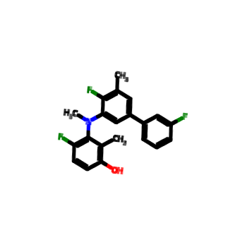 Cc1cc(-c2cccc(F)c2)cc(N(C)c2c(F)ccc(O)c2C)c1F